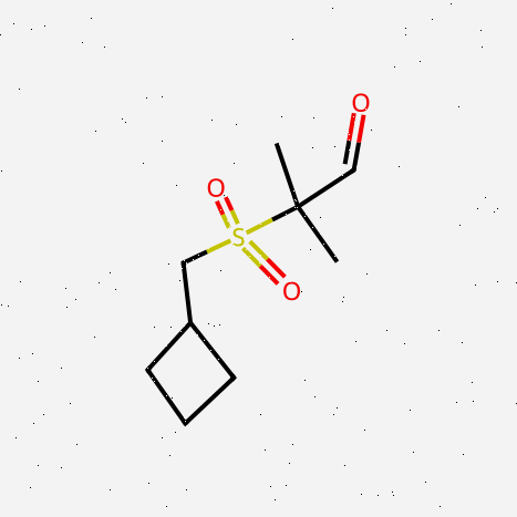 CC(C)(C=O)S(=O)(=O)CC1CCC1